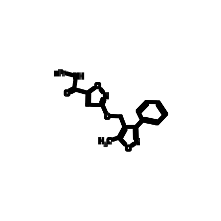 CCCNC(=O)c1cc(OCc2c(-c3ccccc3)noc2C)no1